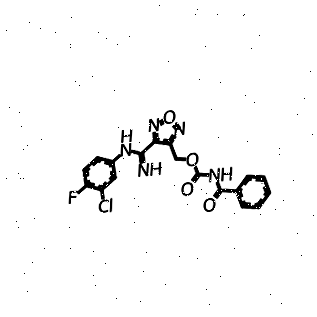 N=C(Nc1ccc(F)c(Cl)c1)c1nonc1COC(=O)NC(=O)c1ccccc1